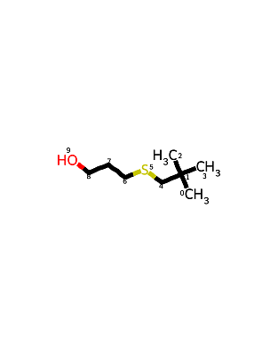 CC(C)(C)CSCCCO